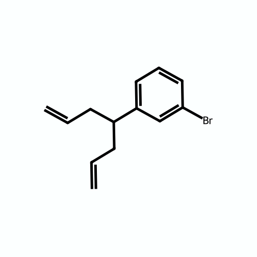 C=CCC(CC=C)c1cccc(Br)c1